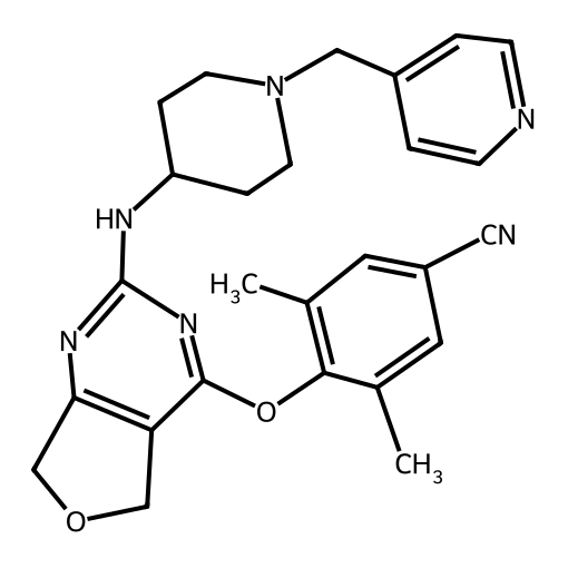 Cc1cc(C#N)cc(C)c1Oc1nc(NC2CCN(Cc3ccncc3)CC2)nc2c1COC2